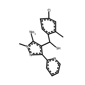 Cc1cc(Cl)ccc1C(S)c1c(-c2ccccn2)nn(C)c1N